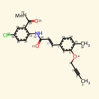 CC#CCOc1cc(/C=C/C(=O)Nc2ccc(Cl)cc2C(=O)NC)ccc1C